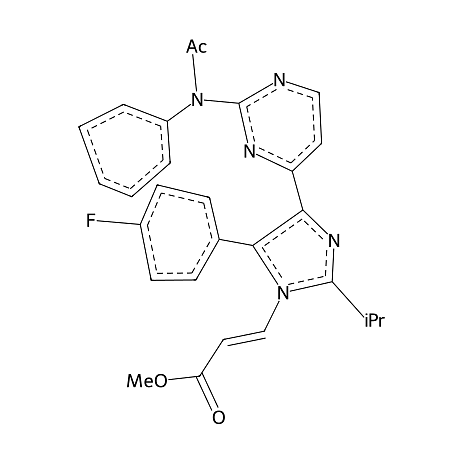 COC(=O)C=Cn1c(C(C)C)nc(-c2ccnc(N(C(C)=O)c3ccccc3)n2)c1-c1ccc(F)cc1